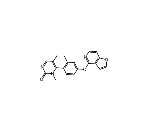 Cc1cc(Oc2nccc3occc23)ccc1-c1c(C)cnc(=O)n1C